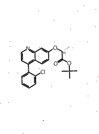 C[C@@H](Oc1ccc2c(-c3ccccc3Cl)ccnc2c1)C(=O)OC(C)(C)C